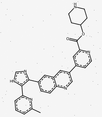 Cc1cccc(-c2[nH]cnc2-c2ccc3ncc(-c4ccnc(C(=O)OC5CCNCC5)c4)cc3c2)n1